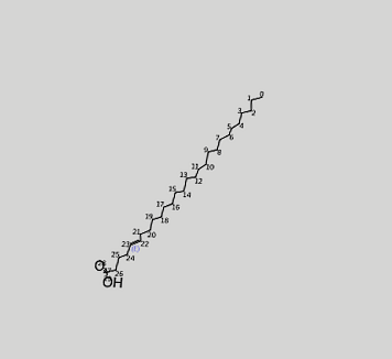 CCCCCCCCCCCCCCCCCCCCCC/C=C/CCCC(=O)O